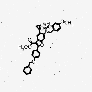 COC(=O)c1c(-c2ccc(OCc3ccccc3)cc2)oc2cc(N(Cc3ccc(OC)cc3)S(C)(=O)=O)c(C3CC3)cc12